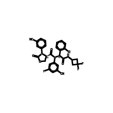 N#Cc1cc(F)cc(N(C(=O)[C@@H]2COC(=O)N2c2cccc(C#N)c2)[C@H](C(=O)NC2CC(F)(F)C2)c2ccccc2Cl)c1